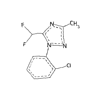 Cc1nc(C(F)F)n(-c2ccccc2Cl)n1